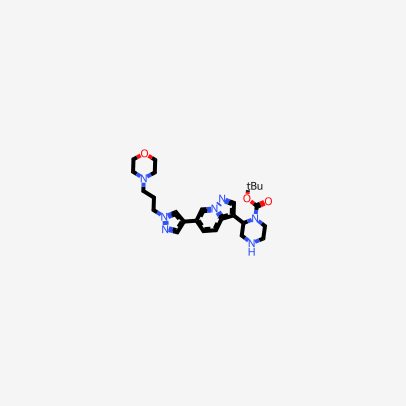 CC(C)(C)OC(=O)N1CCNCC1c1cnn2cc(-c3cnn(CCCN4CCOCC4)c3)ccc12